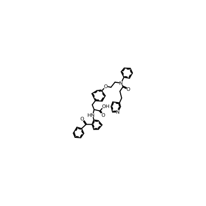 O=C(c1ccccc1)c1ccccc1NC(Cc1ccc(OCCN(C(=O)CCc2cccnc2)c2ccccc2)cc1)C(=O)O